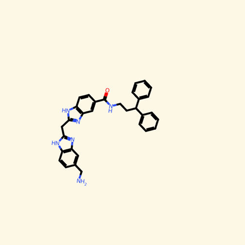 NCc1ccc2[nH]c(Cc3nc4cc(C(=O)NCCC(c5ccccc5)c5ccccc5)ccc4[nH]3)nc2c1